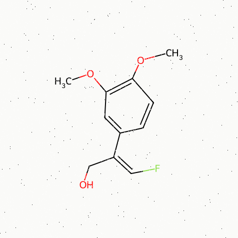 COc1ccc(/C(=C\F)CO)cc1OC